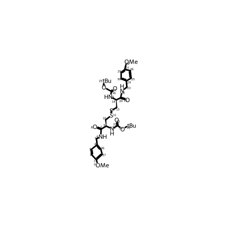 COc1ccc(CNC(=O)[C@@H](CSSC[C@@H](NC(=O)OC(C)(C)C)C(=O)NCc2ccc(OC)cc2)NC(=O)OC(C)(C)C)cc1